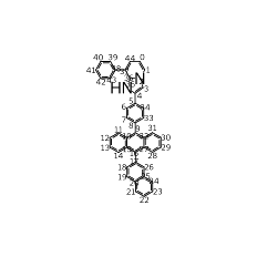 C1=CN2C=C(c3ccc(-c4c5ccccc5c(-c5ccc6ccccc6c5)c5ccccc45)cc3)NC2C(c2ccccc2)=C1